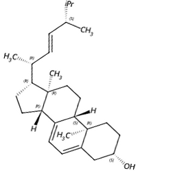 CC(C)[C@H](C)C=C[C@@H](C)[C@H]1CC[C@H]2C3=CC=C4C[C@@H](O)CC[C@]4(C)[C@H]3CC[C@]12C